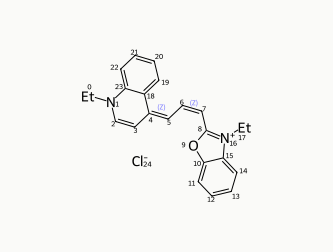 CCN1C=C/C(=C/C=C\c2oc3ccccc3[n+]2CC)c2ccccc21.[Cl-]